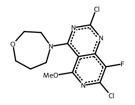 COc1nc(Cl)c(F)c2nc(Cl)nc(N3CCCOCC3)c12